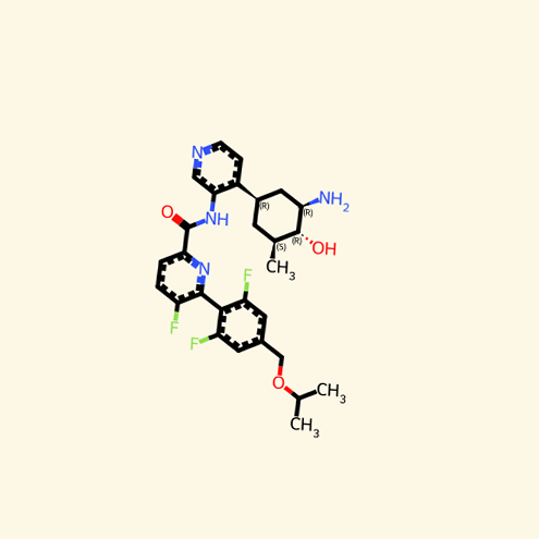 CC(C)OCc1cc(F)c(-c2nc(C(=O)Nc3cnccc3[C@H]3C[C@@H](N)[C@H](O)[C@@H](C)C3)ccc2F)c(F)c1